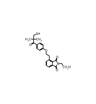 CC(C)(CS)C(=O)c1ccc(OCCc2cccc3c2C(=O)N(CC(=O)O)C3=O)cc1